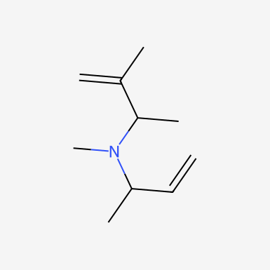 C=CC(C)N(C)C(C)C(=C)C